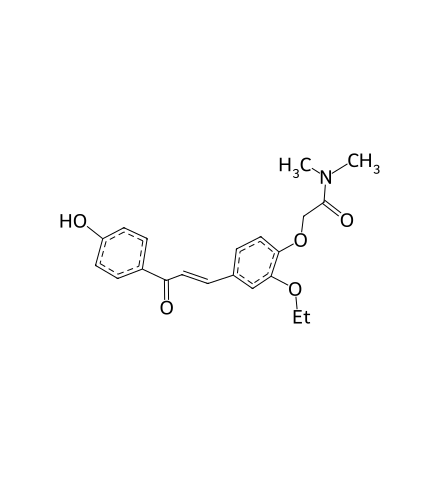 CCOc1cc(C=CC(=O)c2ccc(O)cc2)ccc1OCC(=O)N(C)C